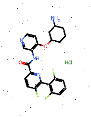 Cl.NC1CCCC(Oc2ccncc2NC(=O)c2ccc(F)c(-c3c(F)cccc3F)n2)C1